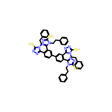 Sc1nnc(-c2ccc(-c3ccc(-c4nnc(S)n4CCc4ccccc4)c(-c4nnc(S)n4CCc4ccccc4)c3)cc2-c2nnc(S)n2CCc2ccccc2)n1CCc1ccccc1